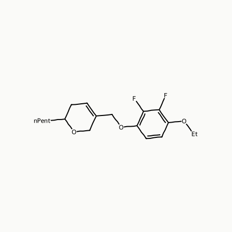 CCCCCC1CC=C(COc2ccc(OCC)c(F)c2F)CO1